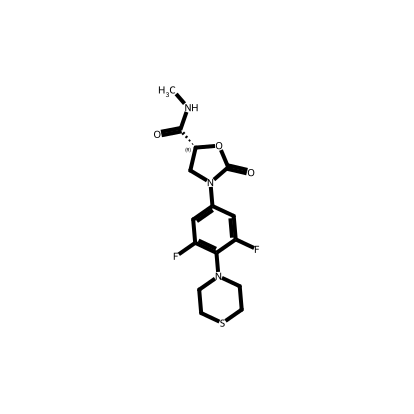 CNC(=O)[C@H]1CN(c2cc(F)c(N3CCSCC3)c(F)c2)C(=O)O1